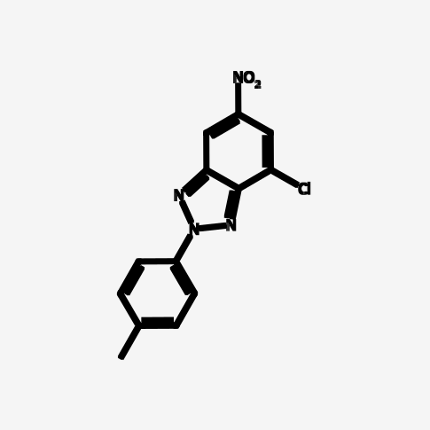 Cc1ccc(-n2nc3cc([N+](=O)[O-])cc(Cl)c3n2)cc1